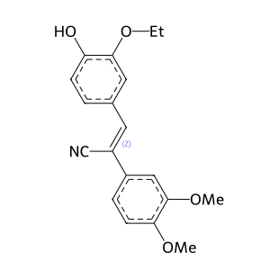 CCOc1cc(/C=C(\C#N)c2ccc(OC)c(OC)c2)ccc1O